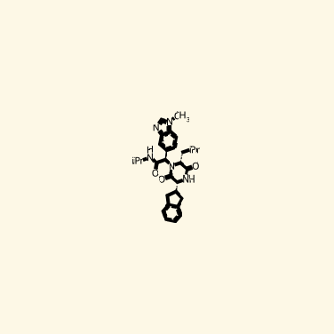 CC(C)C[C@@H]1C(=O)N[C@H](C2Cc3ccccc3C2)C(=O)N1[C@@H](C(=O)NC(C)C)c1ccc2c(c1)ncn2C